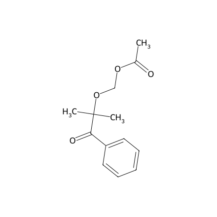 CC(=O)OCOC(C)(C)C(=O)c1ccccc1